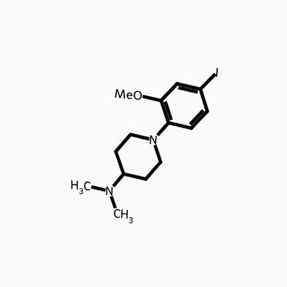 COc1cc(I)ccc1N1CCC(N(C)C)CC1